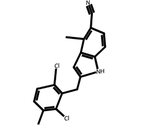 Cc1ccc(Cl)c(Cc2cc3c(C)c(C#N)ccc3[nH]2)c1Cl